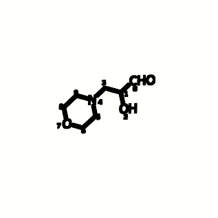 O=CC(O)CN1CCOCC1